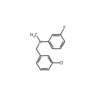 CN(Cc1cccc(Cl)c1)c1cccc(F)c1